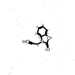 C#CCn1c(=O)oc2ccccc21